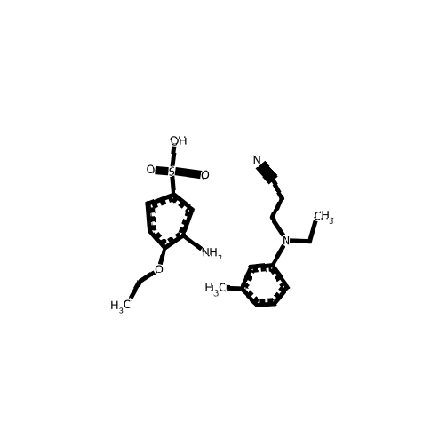 CCN(CCC#N)c1cccc(C)c1.CCOc1ccc(S(=O)(=O)O)cc1N